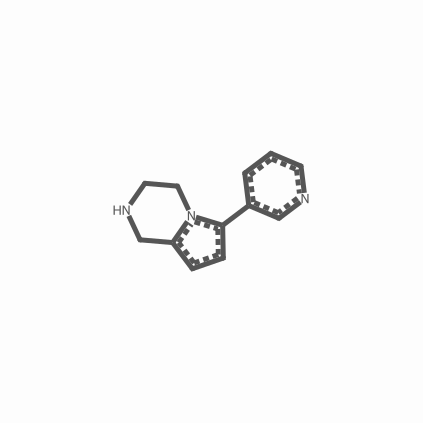 c1cncc(-c2ccc3n2CCNC3)c1